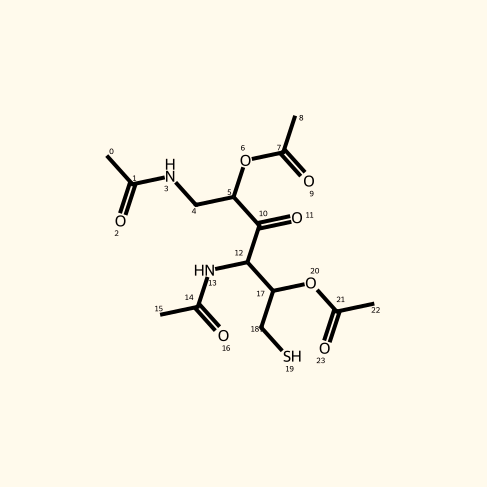 CC(=O)NCC(OC(C)=O)C(=O)C(NC(C)=O)C([CH]S)OC(C)=O